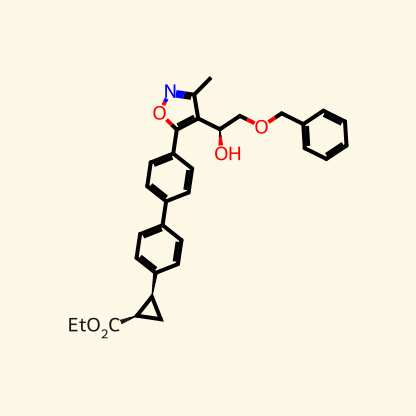 CCOC(=O)[C@@H]1C[C@@H]1c1ccc(-c2ccc(-c3onc(C)c3[C@H](O)COCc3ccccc3)cc2)cc1